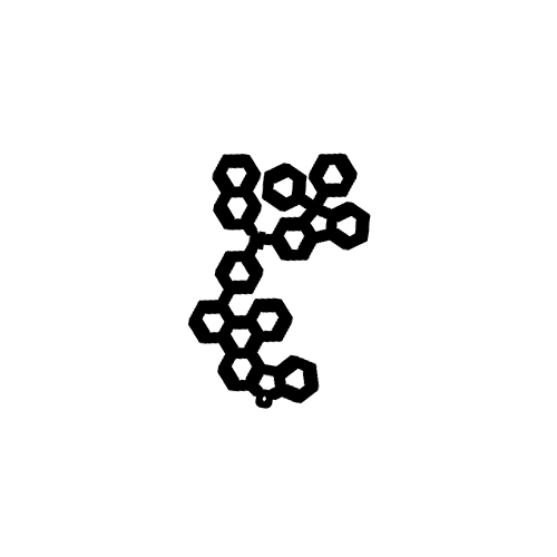 c1ccc(C2(c3ccccc3)c3ccccc3-c3ccc(N(c4ccc(-c5cccc6c7ccc8oc9ccccc9c8c7c7ccccc7c56)cc4)c4ccc5ccccc5c4)cc32)cc1